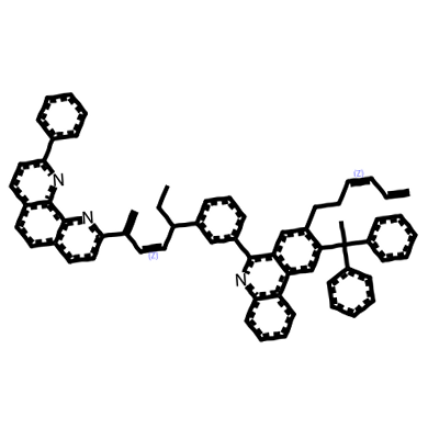 C=C/C=C\CCc1cc2c(-c3cccc(C(/C=C\C(=C)c4ccc5ccc6ccc(-c7ccccc7)nc6c5n4)CC)c3)nc3ccccc3c2cc1C(C)(c1ccccc1)c1ccccc1